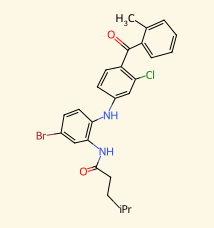 Cc1ccccc1C(=O)c1ccc(Nc2ccc(Br)cc2NC(=O)CCC(C)C)cc1Cl